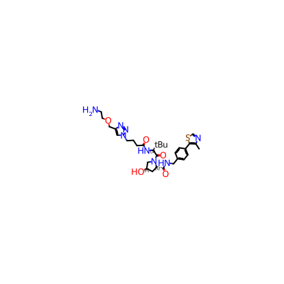 Cc1ncsc1-c1ccc(CNC(=O)[C@@H]2C[C@@H](O)CN2C(=O)[C@@H](NC(=O)CCCn2cc(COCCN)nn2)C(C)(C)C)cc1